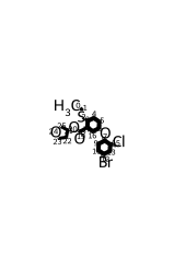 CCSc1ccc(Oc2ccc(Br)cc2Cl)cc1C(=O)OC1CCOC1